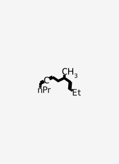 CCC=CC(C)CC=C=CCCC